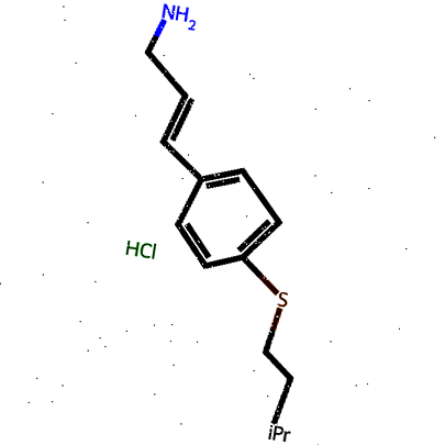 CC(C)CCSc1ccc(C=CCN)cc1.Cl